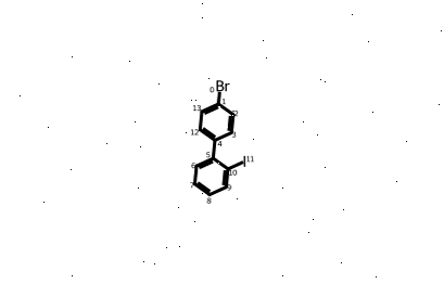 Brc1[c]cc(-c2ccccc2I)cc1